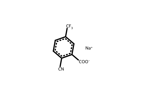 N#Cc1ccc(C(F)(F)F)cc1C(=O)[O-].[Na+]